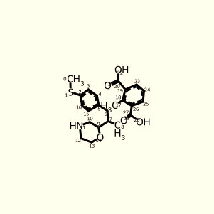 CSc1ccc(CC(C)C2CNCCO2)cc1.Cc1c(C(=O)O)cccc1C(=O)O